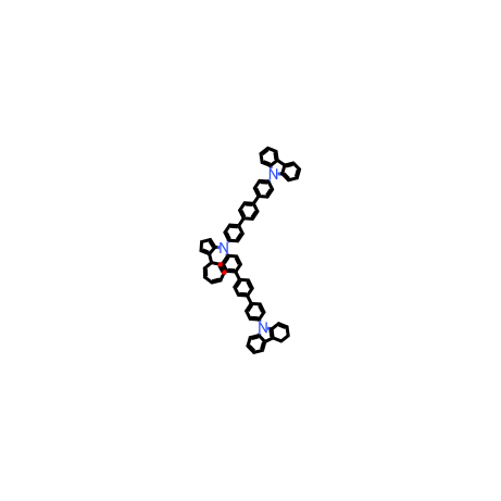 C1=CC=CC(C2=CCC=C2N(c2ccc(-c3ccc(-c4ccc(-n5c6c(c7ccccc75)CCC=C6)cc4)cc3)cc2)c2ccc(-c3ccc(-c4ccc(-n5c6ccccc6c6ccccc65)cc4)cc3)cc2)C=C1